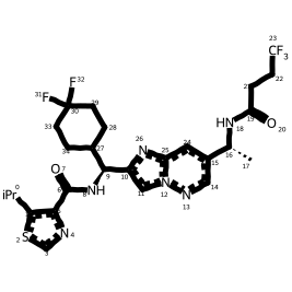 CC(C)c1scnc1C(=O)N[C@H](c1cn2ncc([C@@H](C)NC(=O)CCC(F)(F)F)cc2n1)C1CCC(F)(F)CC1